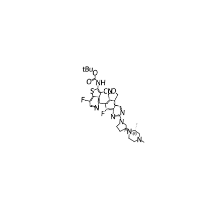 C[C@@H]1CN(C)CCN1[C@@H]1CCN(c2ncc3c4c(c(-c5ncc(F)c6sc(NC(=O)OC(C)(C)C)c(C#N)c56)c(F)c3n2)COC4)C1